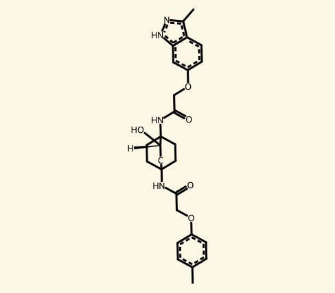 Cc1ccc(OCC(=O)NC23CCC(NC(=O)COc4ccc5c(C)n[nH]c5c4)(CC2)[C@@H](O)C3)cc1